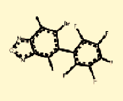 Cc1c(Br)c(-c2c(F)c(F)c(F)c(F)c2F)c(C)c2nonc12